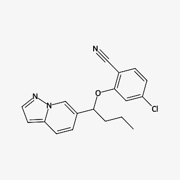 CCCC(Oc1cc(Cl)ccc1C#N)c1ccc2ccnn2c1